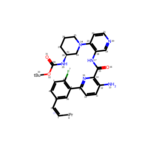 CC(C)/C=C\c1ccc(F)c(-c2ccc(N)c(C(=O)Nc3cnccc3N3CCC[C@H](NC(=O)OC(C)(C)C)C3)n2)c1